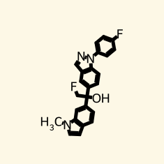 Cn1ccc2ccc(C(O)(CF)c3ccc4c(cnn4-c4ccc(F)cc4)c3)cc21